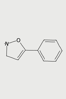 C1=C(c2ccccc2)O[N]C1